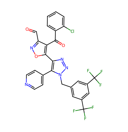 O=Cc1noc(-c2nnn(Cc3cc(C(F)(F)F)cc(C(F)(F)F)c3)c2-c2ccncc2)c1C(=O)c1ccccc1Cl